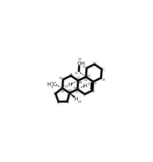 C[C@@]12CCC[C@H]1[C@@H]1CC=C3CCCC[C@]3(CO)[C@@H]1CC2